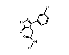 CC(C)NC(=O)Cn1c(-c2cccc(Cl)c2)n[nH]c1=O